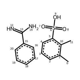 Cc1cccc(S(=O)(=O)O)c1C.N=C(N)c1ccccc1